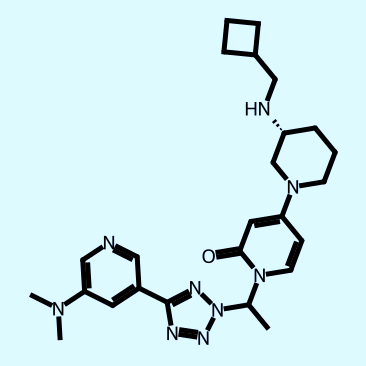 CC(n1nnc(-c2cncc(N(C)C)c2)n1)n1ccc(N2CCC[C@@H](NCC3CCC3)C2)cc1=O